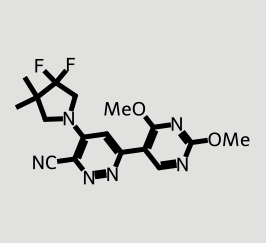 COc1ncc(-c2cc(N3CC(C)(C)C(F)(F)C3)c(C#N)nn2)c(OC)n1